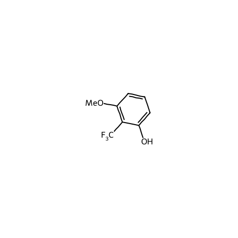 COc1cccc(O)c1C(F)(F)F